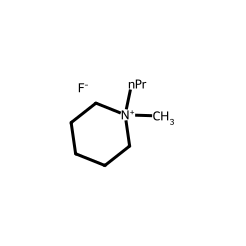 CCC[N+]1(C)CCCCC1.[F-]